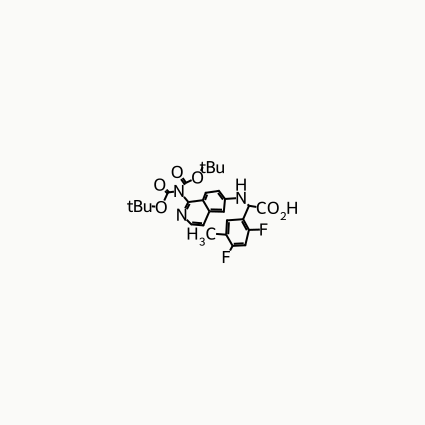 Cc1cc(C(Nc2ccc3c(N(C(=O)OC(C)(C)C)C(=O)OC(C)(C)C)nccc3c2)C(=O)O)c(F)cc1F